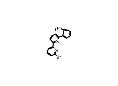 Oc1ccccc1-c1cccc(-c2cccc(Br)n2)n1